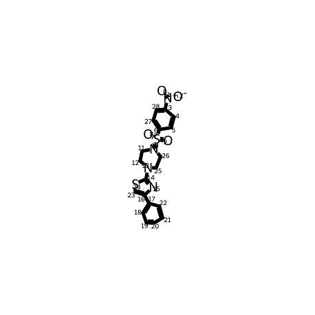 O=[N+]([O-])c1ccc(S(=O)(=O)N2CCN(c3nc(-c4ccccc4)cs3)CC2)cc1